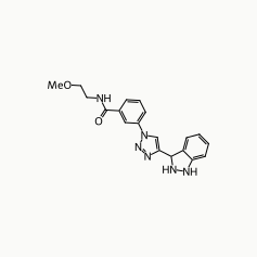 COCCNC(=O)c1cccc(-n2cc(C3NNc4ccccc43)nn2)c1